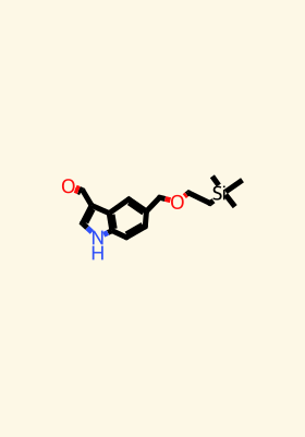 C[Si](C)(C)CCOCc1ccc2[nH]cc(C=O)c2c1